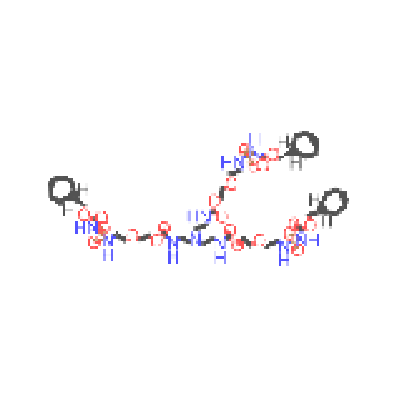 O=C(NCCN(CCNC(=O)OCCOCCNS(=O)(=O)NC(=O)OC[C@@H]1[C@@H]2CCC#CCC[C@@H]21)CCNC(=O)OCCOCCNS(=O)(=O)NC(=O)OC[C@@H]1[C@@H]2CCC#CCC[C@@H]21)OCCOCCNS(=O)(=O)NC(=O)OCC1[C@H]2CCC#CCC[C@@H]12